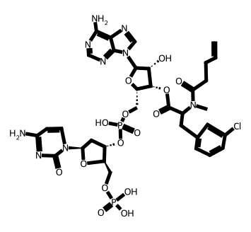 C=CCCC(=O)N(C)C(Cc1cccc(Cl)c1)C(=O)O[C@@H]1[C@H](COP(=O)(O)O[C@H]2C[C@H](n3ccc(N)nc3=O)O[C@@H]2COP(=O)(O)O)OC(n2cnc3c(N)ncnc32)[C@@H]1O